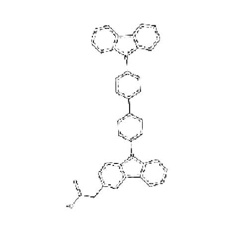 O=C(O)Cc1ccc2c(c1)c1ccccc1n2-c1ccc(-c2ccc(-n3c4ccccc4c4ccccc43)cc2)cc1